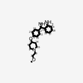 COCCN1CCC(Oc2ccc(C(=N)c3ccccc3N)cc2)CC1